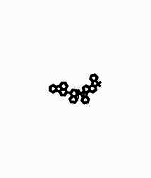 CC1(C)c2ccccc2-c2c1ccc1c2ccc2c1c1ccccc1n2-c1ccc(-c2ccc3c4c(cccc24)-c2ccccc2-3)c2ccccc12